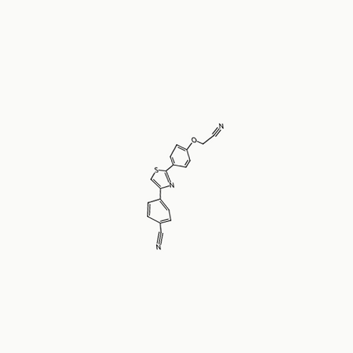 N#CCOc1ccc(-c2nc(-c3ccc(C#N)cc3)cs2)cc1